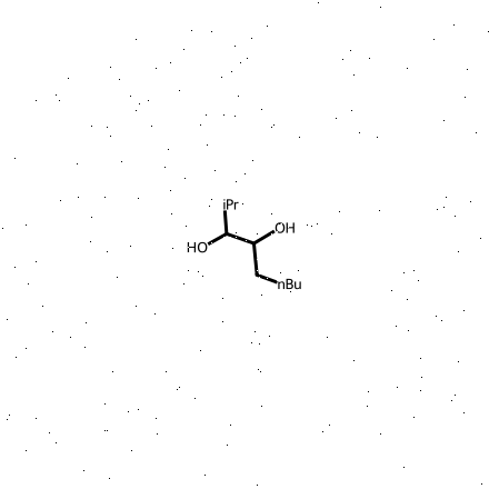 CCCCCC(O)C(O)C(C)C